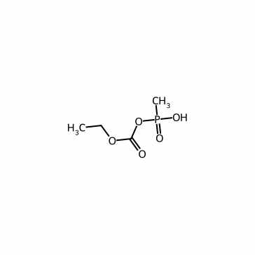 CCOC(=O)OP(C)(=O)O